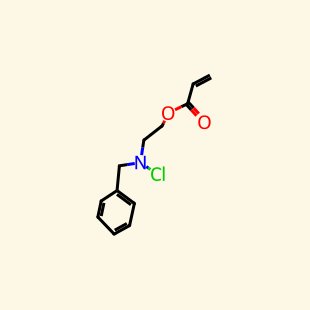 C=CC(=O)OCCN(Cl)Cc1ccccc1